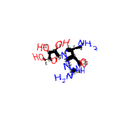 NCc1cn([C@@H]2O[C@H](CO)[C@@H](O)[C@H]2O)c2nc(N)[nH]c(=O)c12